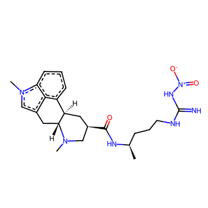 C[C@H](CCCNC(=N)N[N+](=O)[O-])NC(=O)[C@@H]1C[C@@H]2c3cccc4c3c(cn4C)C[C@H]2N(C)C1